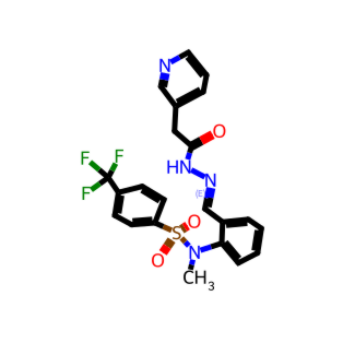 CN(c1ccccc1/C=N/NC(=O)Cc1cccnc1)S(=O)(=O)c1ccc(C(F)(F)F)cc1